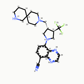 N#Cc1ccc(N2C[C@H](CN3CCC4(CCCNC4)CC3)[C@@H](C(F)(F)F)C2)c2nccnc12